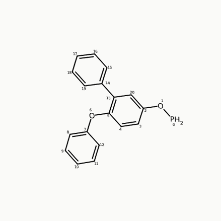 POc1ccc(Oc2ccccc2)c(-c2ccccc2)c1